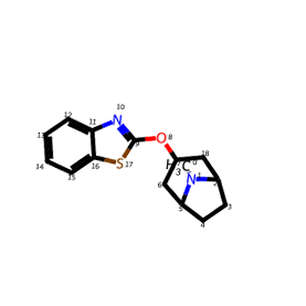 CN1C2CCC1CC(Oc1nc3ccccc3s1)C2